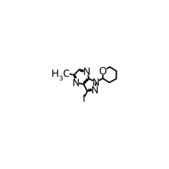 Cc1cnc2c(n1)c(I)nn2C1CCCCO1